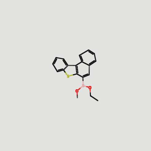 CCOB(OC)c1cc2ccccc2c2c1sc1ccccc12